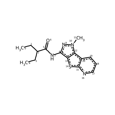 CCC(CC)C(=O)Nc1nn(C)c2c1sc1ncccc12